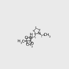 CCN1CCCC1CNC(=O)C(C)(C)C